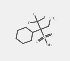 CCC(C1CCCCC1)(C(F)(F)F)S(=O)(=O)O